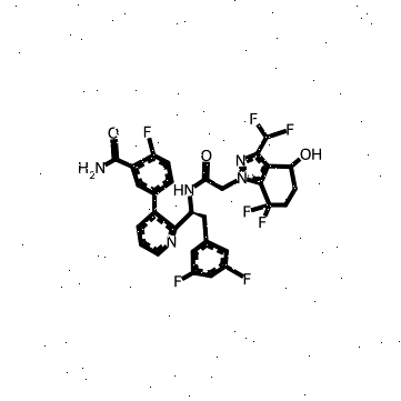 NC(=O)c1cc(-c2cccnc2[C@H](Cc2cc(F)cc(F)c2)NC(=O)Cn2nc(C(F)F)c3c2C(F)(F)CCC3O)ccc1F